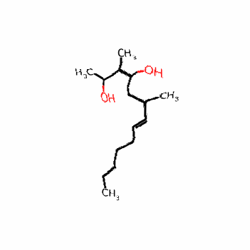 CCCCCC=CC(C)CC(O)C(C)C(C)O